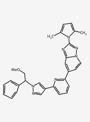 COCC(c1ccccc1)n1cc(-c2cccc(-c3ccn4nc(-n5c(C)ccc5C)nc4c3)n2)cn1